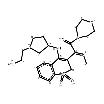 C/N=C(/C(=O)N1CCOCC1)C1=C(NC2CCN(CCOC(C)=O)C2)c2ccccc2S(=O)(=O)C1